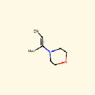 [C-]#[N+]/C=C(\SC)N1CCOCC1